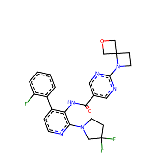 O=C(Nc1c(-c2ccccc2F)ccnc1N1CCC(F)(F)C1)c1cnc(N2CCC23COC3)nc1